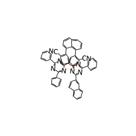 N#Cc1ccc(-c2nc(-c3ccccc3)nc(-c3ccccc3)n2)cc1-c1cccc2cccc(-c3cc(-c4nc(-c5ccccc5)nc(-c5ccc6ccccc6c5)n4)ccc3C#N)c12